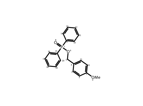 COc1ccc(COP(=O)(c2ccccc2)c2ccccc2)cc1